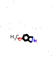 COc1ccc2c(c1)CN(I)C2